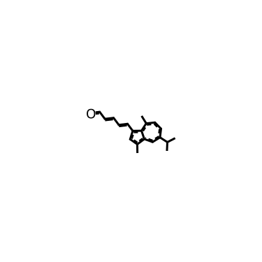 Cc1cc(C=CC=CC=O)c2c(C)ccc(C(C)C)cc1-2